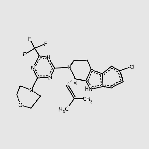 CC(C)=C[C@H]1c2[nH]c3ccc(Cl)cc3c2CCN1c1nc(N2CCOCC2)nc(C(F)(F)F)n1